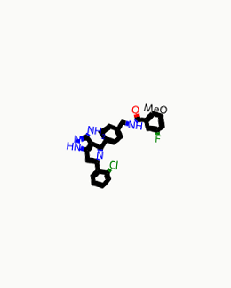 COc1ccc(F)cc1C(=O)NCc1ccc(-c2nc(-c3ccccc3Cl)cc3[nH]nc(N)c23)cc1